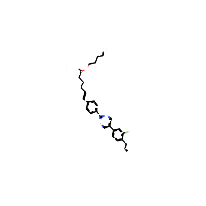 C=CCc1ccc(-c2cnc(-c3ccc(C=CCCCC(C)OCCCCC)cc3)nc2)cc1F